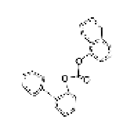 O=C(Oc1ccccc1-c1ccccc1)Oc1cccc2ccccc12